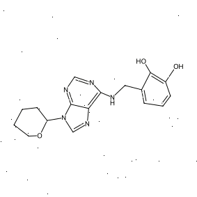 Oc1cccc(CNc2ncnc3c2ncn3C2CCCCO2)c1O